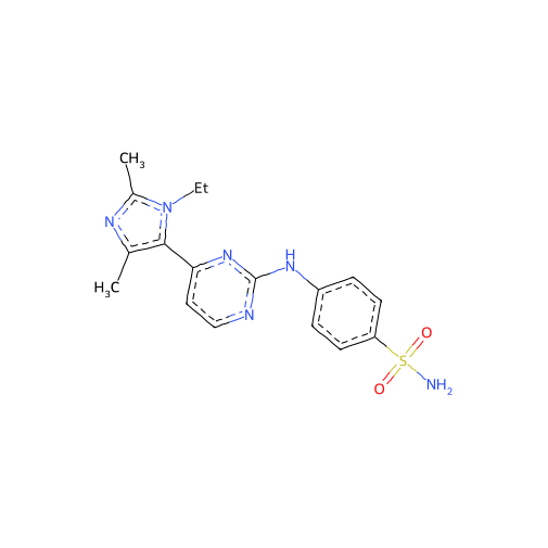 CCn1c(C)nc(C)c1-c1ccnc(Nc2ccc(S(N)(=O)=O)cc2)n1